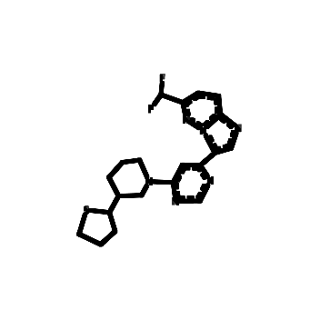 FC(F)c1ccc2ncc(-c3cc(N4CCCC(C5CCCS5)C4)ncn3)n2n1